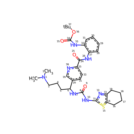 CN(C)CCCC(NC(=O)Nc1nc2c(s1)CCCC2)c1ccc(C(=O)Nc2ccccc2NC(=O)OC(C)(C)C)nc1